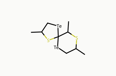 CC1C[Te]C2(SC(C)C[Te]2)C(C)S1